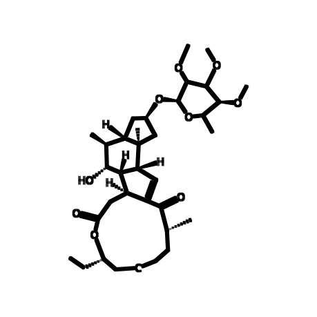 CC[C@H]1CCCC[C@@H](C)C(=O)C2=C[C@@H]3[C@@H]([C@H](O)[C@@H](C)[C@@H]4C[C@@H](O[C@@H]5OC(C)[C@H](OC)C(OC)C5OC)C[C@@]34C)[C@@H]2CC(=O)O1